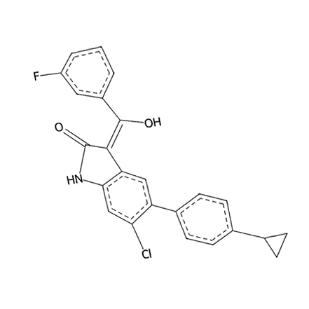 O=C1Nc2cc(Cl)c(-c3ccc(C4CC4)cc3)cc2C1=C(O)c1cccc(F)c1